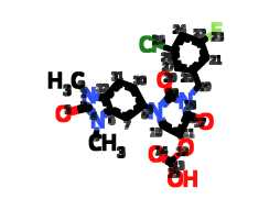 Cn1c(=O)n(C)c2cc(-n3cc(OC(=O)O)c(=O)n(Cc4cc(F)cc(Cl)c4)c3=O)ccc21